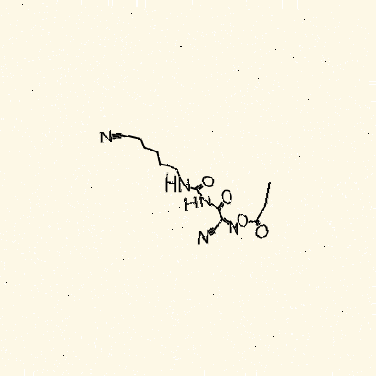 CCC(=O)ON=C(C#N)C(=O)NC(=O)NCCCCCC#N